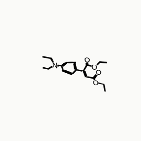 CCOC(=O)C=C(C(=O)OCC)c1ccc(N(CC)CC)cc1